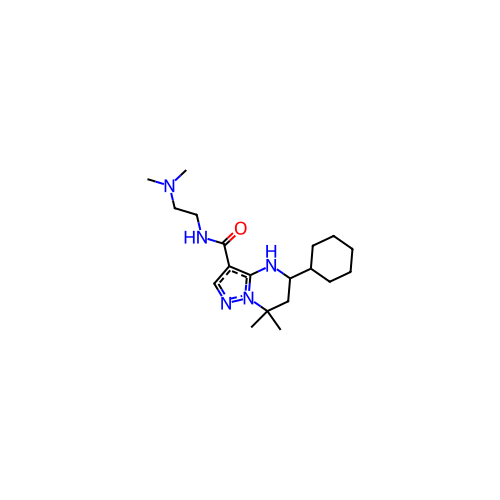 CN(C)CCNC(=O)c1cnn2c1NC(C1CCCCC1)CC2(C)C